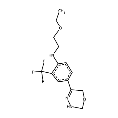 CCOCCNc1ccc(C2=NNCOC2)cc1C(F)(F)F